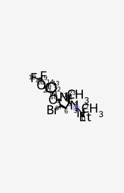 CCN(C)/C=N/c1cc(Br)c(O[C@H]2CCC[C@@H](OC(F)F)C2)nc1C